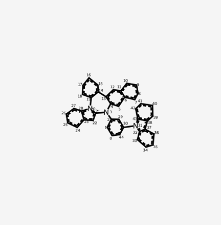 c1cc(N2c3cc4ccccc4cc3-c3ccccc3-n3c2cc2ccccc23)cc(-n2c3ccccc3c3ccccc32)c1